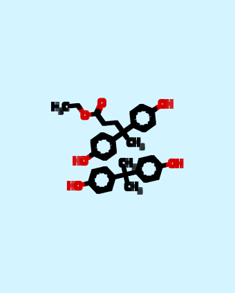 CC(C)(c1ccc(O)cc1)c1ccc(O)cc1.CCOC(=O)CCC(C)(c1ccc(O)cc1)c1ccc(O)cc1